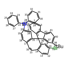 CC(C)(C)c1ccc2c(c1)C1(c3cc(Br)ccc3C=Cc3ccc(N(c4ccccc4)c4ccccc4)cc31)c1cc(C(C)(C)C)ccc1-2